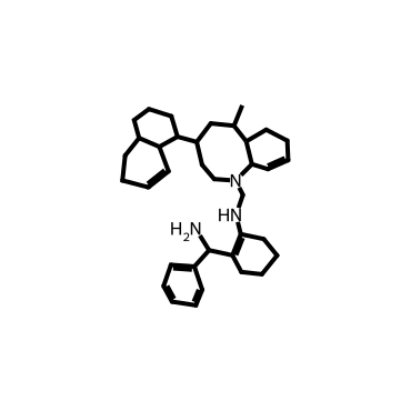 CC1CC(C2CCCC3CCC=CC32)CCN(CNC2=C(C(N)c3ccccc3)CCCC2)C2C=CCCC12